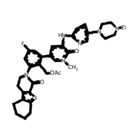 CCN1CCN(c2ccc(Nc3cc(-c4cc(F)cc(N5CCc6c(sc7c6CCCC7)C5=O)c4COC(C)=O)cn(C)c3=O)nc2)CC1